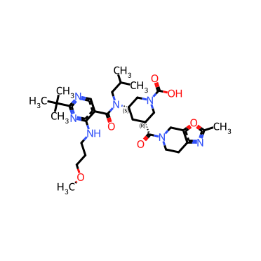 COCCCNc1nc(C(C)(C)C)ncc1C(=O)N(CC(C)C)[C@H]1C[C@@H](C(=O)N2CCc3nc(C)oc3C2)CN(C(=O)O)C1